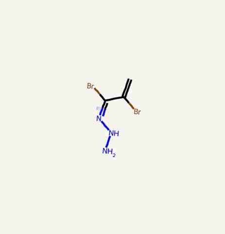 C=C(Br)/C(Br)=N\NN